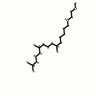 COCCOCCCCCC(C)CCCC(C)CCCC(C)C